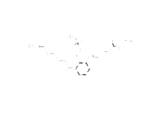 CCOC(=O)CCCOc1cccc(CCCCCCO)c1CCC(C)(C)O